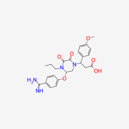 CCCN1C(=O)C(=O)N(C(CC(=O)O)c2ccc(OC)cc2)CC1Oc1ccc(C(=N)N)cc1